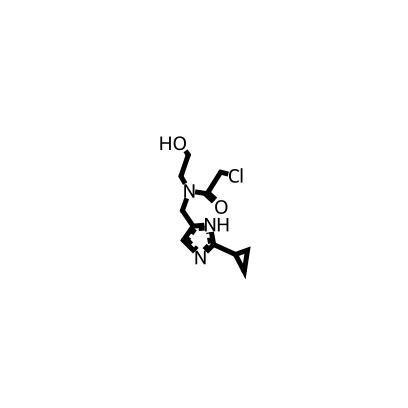 O=C(CCl)N(CCO)Cc1cnc(C2CC2)[nH]1